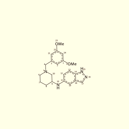 COc1cc(CN2CCCC(Nc3ccc4[nH]ncc4c3)C2)cc(OC)c1